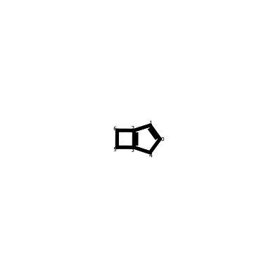 C1=CC2=C(C1)CC2